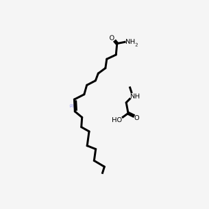 CCCCCCCC/C=C\CCCCCCCC(N)=O.CNCC(=O)O